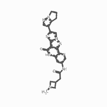 CN1CC(CC(=O)Nc2cnc3c(c2)[nH]c(=O)c2c3nn3cc(-c4cnn5c4CCC5)sc23)C1